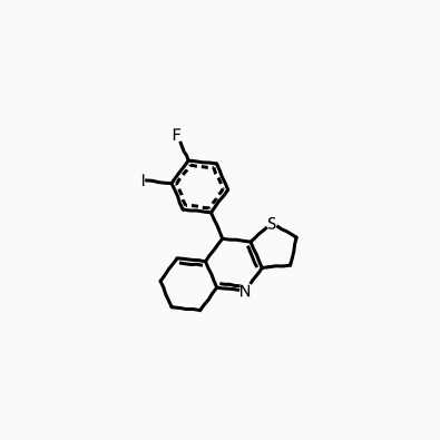 Fc1ccc(C2C3=CCCCC3=NC3=C2SCC3)cc1I